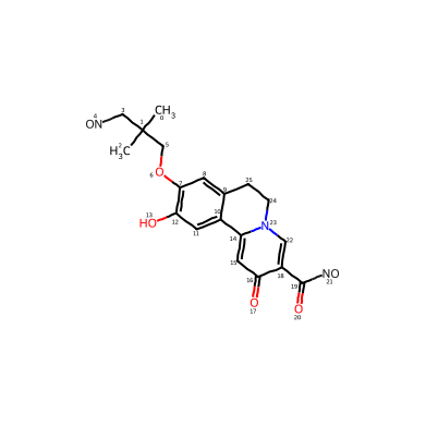 CC(C)(CN=O)COc1cc2c(cc1O)-c1cc(=O)c(C(=O)N=O)cn1CC2